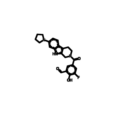 O=Cc1cc(C(=O)N2CCc3c([nH]c4cc(N5CCCC5)ccc34)C2)cc(F)c1O